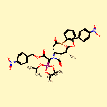 CC(C)OP(OC(C)C)(OC(C)C)=C(C(=O)OCc1ccc([N+](=O)[O-])cc1)N1C(=O)[C@@H]([C@@H](C)C(=O)OCc2ccc([N+](=O)[O-])cc2)[C@H]1CC(=O)Sc1ccccc1